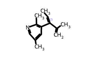 C=C(C)/C(=C/C)c1cc(C)cnc1C